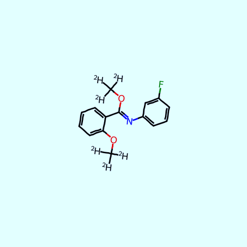 [2H]C([2H])([2H])OC(=Nc1cccc(F)c1)c1ccccc1OC([2H])([2H])[2H]